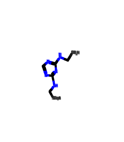 CCCCCCCCNc1ncnc(NCC(=O)O)n1